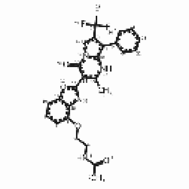 CC(=O)NCCOc1cccc2oc(-c3c(C)[nH]c4c(-c5ccccc5)c(C(F)(F)F)nn4c3=O)nc12